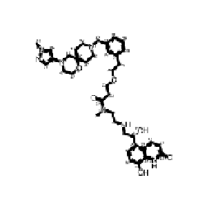 CN(CCNC[C@H](O)c1ccc(O)c2[nH]c(=O)ccc12)C(=O)CCOCCc1cccc(CN2CCC3(CC2)CN(c2cnn(C)c2)CCO3)c1